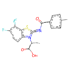 Cc1ccc(C(=O)N=c2sc3c(F)c(F)ccc3n2C(C)C(=O)O)cc1